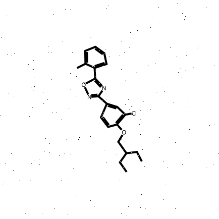 CCC(CC)COc1ccc(-c2noc(-c3ccccc3C)n2)cc1Cl